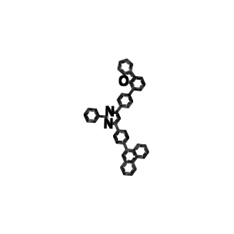 c1ccc(-c2nc(-c3ccc(-c4cc5ccccc5c5ccccc45)cc3)cc(-c3ccc(-c4cccc5c4oc4ccccc45)cc3)n2)cc1